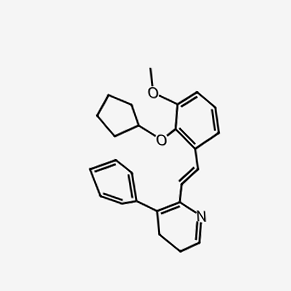 COc1cccc(/C=C/C2=C(c3ccccc3)CCC=N2)c1OC1CCCC1